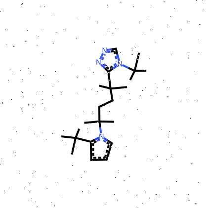 CC(C)(C)c1cccn1C(C)(C)CCC(C)(C)c1nncn1C(C)(C)C